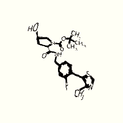 Cc1ncsc1-c1ccc(CNC(=O)[C@@H]2C[C@@H](O)CN2C(=O)OC(C)(C)C)cc1F